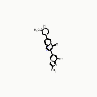 CCc1cc(C2=C\C(=O)N3C=C(N4CCN[C@H](C)C4)C=C\C3=C/C=C/2)cn2cc(C)nc12